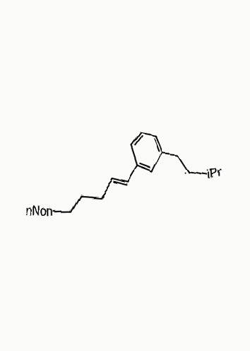 CCCCCCCCCCCCC=Cc1cccc(C[CH]C(C)C)c1